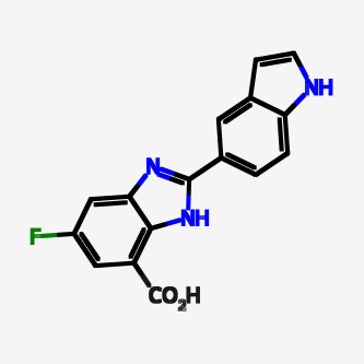 O=C(O)c1cc(F)cc2nc(-c3ccc4[nH]ccc4c3)[nH]c12